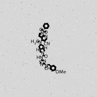 COc1ccc(CN(C)c2nsc(NC(=O)N3C[C@H]4C[C@H](N(C)c5c(C#N)cnc6c5ccn6S(=O)(=O)c5ccccc5)C[C@H]4C3)n2)cc1